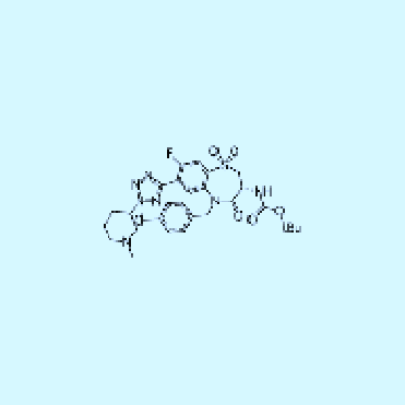 CN1CCCC(n2nnc(-c3cc4c(cc3F)S(=O)(=O)C[C@H](NC(=O)OC(C)(C)C)C(=O)N4Cc3ccc(Cl)cc3)n2)C1